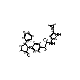 CC(C(=O)Nc1cc(C2CC2)[nH]n1)c1ccc(N2C(=O)CCC2c2ccccc2)cc1